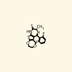 C[C@@H]1N=C(c2c(F)cccc2F)c2c(sc3c2COCCO3)NC1=S